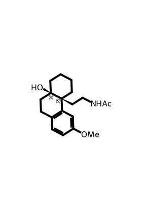 COc1ccc2c(c1)[C@@]1(CCNC(C)=O)CCCC[C@@]1(O)CC2